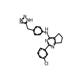 Clc1cccc(-c2nc3c(c(Nc4ccc(Cc5nnn[nH]5)cc4)n2)CCC3)c1